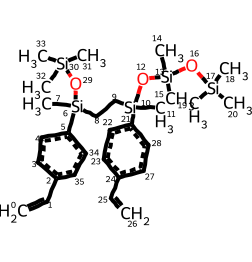 C=Cc1ccc([Si](C)(CC[Si](C)(O[Si](C)(C)O[Si](C)(C)C)c2ccc(C=C)cc2)O[Si](C)(C)C)cc1